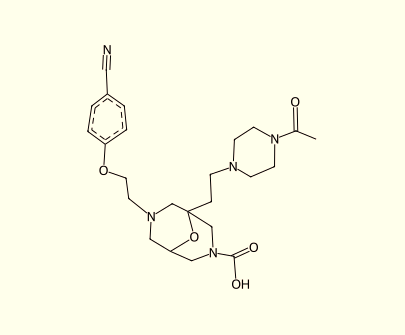 CC(=O)N1CCN(CCC23CN(CCOc4ccc(C#N)cc4)CC(CN(C(=O)O)C2)O3)CC1